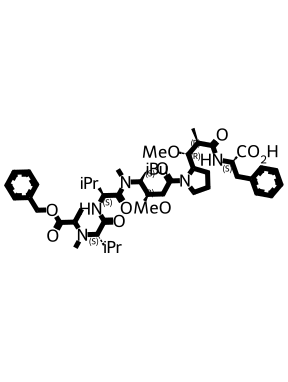 CC[C@H](C)C([C@@H](CC(=O)N1CCCC1[C@H](OC)[C@@H](C)C(=O)N[C@@H](Cc1ccccc1)C(=O)O)OC)N(C)C(=O)[C@@H](NC(=O)[C@H](C(C)C)N(C)C(C)C(=O)OCc1ccccc1)C(C)C